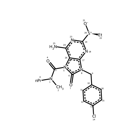 CCCN(C)C(=O)n1c(=O)n(Cc2ccc(Cl)cc2)c2nc([S@@+]([O-])CC)nc(N)c21